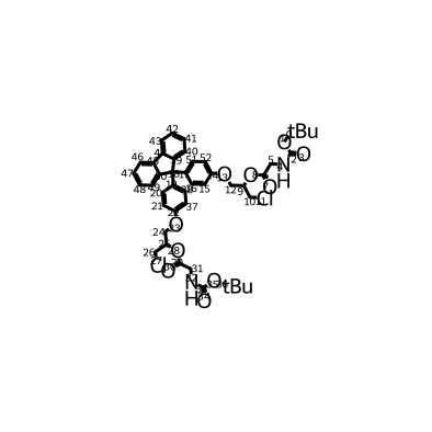 CC(C)(C)OC(=O)NCC(=O)OC(CCl)COc1ccc(C2(c3ccc(OCC(CCl)OC(=O)CNC(=O)OC(C)(C)C)cc3)c3ccccc3-c3ccccc32)cc1